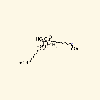 C=C(C(=O)O)C(C(=O)O)(C(=O)CCCCCCCC=CCCCCCCCC)C(=O)CCCCCCC/C=C\CCCCCCCC